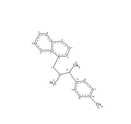 C[C](Cc1cccc2ccccc12)C(C)c1ccc(C)cc1